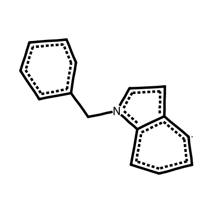 [c]1cccc2c1ccn2Cc1ccccc1